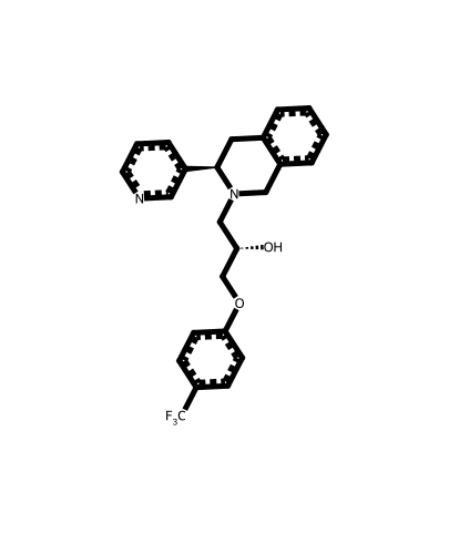 O[C@H](COc1ccc(C(F)(F)F)cc1)CN1Cc2ccccc2C[C@@H]1c1cccnc1